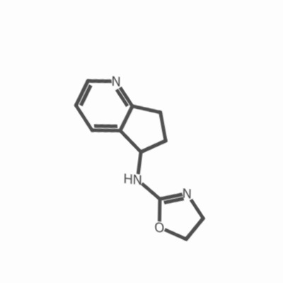 c1cnc2c(c1)C(NC1=NCCO1)CC2